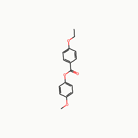 CCOc1ccc(C(=O)Oc2ccc(OC)cc2)cc1